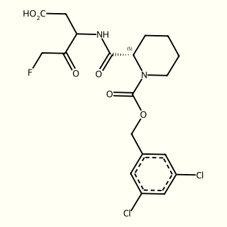 O=C(O)CC(NC(=O)[C@@H]1CCCCN1C(=O)OCc1cc(Cl)cc(Cl)c1)C(=O)CF